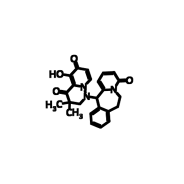 CC1(C)CN(C2c3ccccc3CCn3c2cccc3=O)n2ccc(=O)c(O)c2C1=O